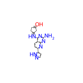 Nc1nc(N[C@H]2CC[C@H](O)C2)c2ccc(-c3ccn[nH]3)nc2n1